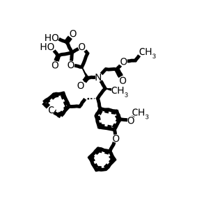 CCOC(=O)CN(C(=O)[C@@H]1COC(C(=O)O)(C(=O)O)O1)[C@@H](C)[C@@H](CCc1ccccc1)c1ccc(Oc2ccccc2)c(OC)c1